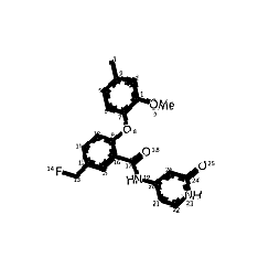 COc1cc(C)ccc1Oc1ccc(CF)cc1C(=O)Nc1cc[nH]c(=O)c1